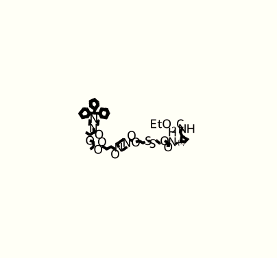 CCOC(=O)NCC1CC[C@H]1CNC(=O)OCCSSCCOC(=O)N1CCN(C(=O)CCC(=O)OC(C)COC(C)C(=O)N2CCN(C(c3ccccc3)(c3ccccc3)c3ccccc3)CC2)CC1